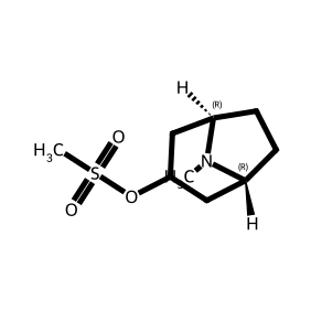 CN1[C@@H]2CC[C@@H]1CC(OS(C)(=O)=O)C2